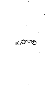 CCC(C)c1ccc(COC[n+]2ccccc2)cc1